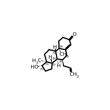 C=CC[C@@H]1CC2=CC(=O)CC[C@]2(C)[C@H]2CC[C@]3(C)[C@@H](O)CC[C@H]3[C@H]12